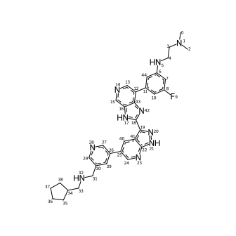 CN(C)CCNc1cc(F)cc(-c2cncc3[nH]c(-c4n[nH]c5ncc(-c6cncc(CNCC7CCCC7)c6)cc45)nc23)c1